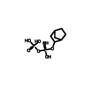 N=P(O)(OC1CC2CCC1C2)OP(=O)(O)O